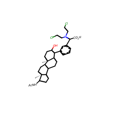 CC(=O)NC1CCC2C3CCC4C(c5cccc(C(C(=O)O)N(CCCl)CCCl)c5)C(O)CC[C@]4(C)C3CC[C@]12C